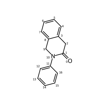 O=C1Cc2ccccc2CN1c1ccccc1